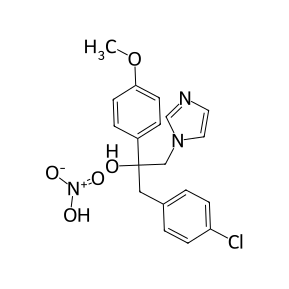 COc1ccc(C(O)(Cc2ccc(Cl)cc2)Cn2ccnc2)cc1.O=[N+]([O-])O